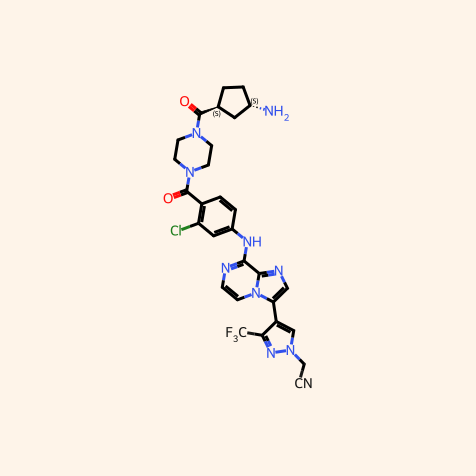 N#CCn1cc(-c2cnc3c(Nc4ccc(C(=O)N5CCN(C(=O)[C@H]6CC[C@H](N)C6)CC5)c(Cl)c4)nccn23)c(C(F)(F)F)n1